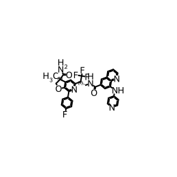 C[C@]1(C(N)=O)COc2c1cc([C@@H](CNC(=O)c1cc(Nc3ccncc3)c3ncccc3c1)C(F)(F)F)nc2-c1ccc(F)cc1